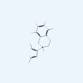 Cc1cc(C2(C)CCc3c(C)c(O)c(C)c(Cl)c3C2)c(C)s1